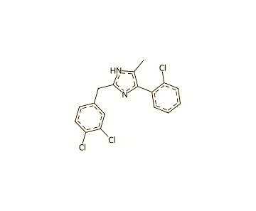 Cc1[nH]c(Cc2ccc(Cl)c(Cl)c2)nc1-c1ccccc1Cl